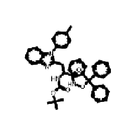 Cc1ccc(-n2c(CC(NC(=O)OC(C)(C)C)C(=O)NOC(c3ccccc3)(c3ccccc3)c3ccccc3)nc3ccccc32)cc1